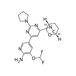 Nc1ncc(-c2cc(N3C[C@@H]4CC[C@H]3CO4)nc(N3CCCC3)n2)cc1OC(F)F